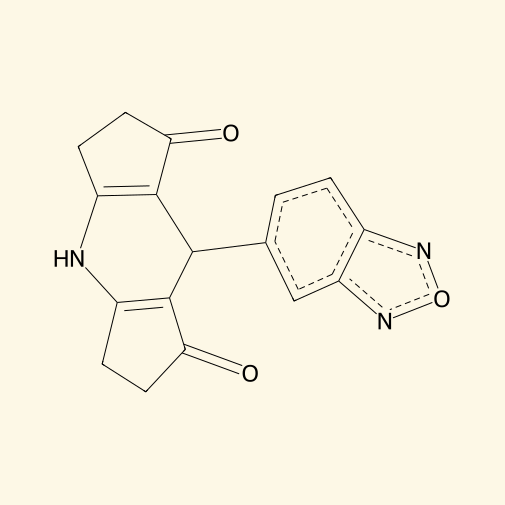 O=C1CCC2=C1C(c1ccc3nonc3c1)C1=C(CCC1=O)N2